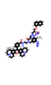 Cc1c(N=[N+]=[N-])cc(CN(CCNC(=O)c2ccc(C(=O)O)c(C3=c4cc5c6c(c4Oc4c3cc3c7c4CCCN7CCCC3)CCC[N+]=6CCCC5)c2)C(=O)CCNC[C@H](O)COc2cccc3ccccc23)cc1N=[N+]=[N-]